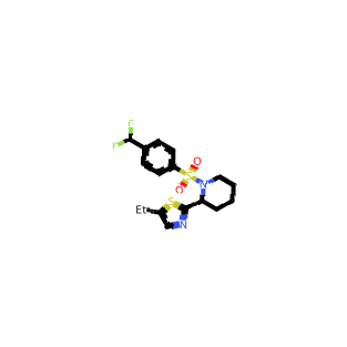 CCc1cnc(C2CCCCN2S(=O)(=O)c2ccc(C(F)F)cc2)s1